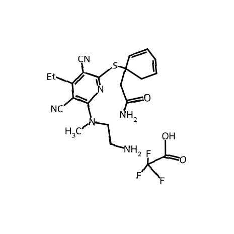 CCc1c(C#N)c(SC2(CC(N)=O)C=CC=CC2)nc(N(C)CCN)c1C#N.O=C(O)C(F)(F)F